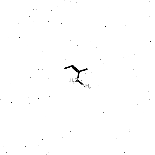 CC=C(C)[SiH2]N